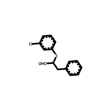 O=CC(Cc1ccccc1)Sc1cccc(Cl)c1